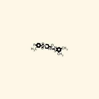 Cc1cc(C)c2sc(NC(=O)C3CCN(S(=O)(=O)c4ccc(F)c(C)c4)CC3)nc2c1